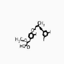 CCOC(Cc1ccc(OCC=C(C)C#Cc2cc(I)cc(I)c2)c(I)c1)C(=O)O